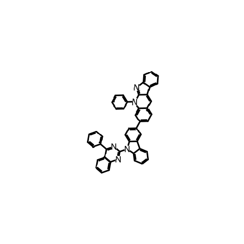 c1ccc(-c2nc(-n3c4ccccc4c4cc(-c5ccc6cc7c8ccccc8nc-7n(-c7ccccc7)c6c5)ccc43)nc3ccccc23)cc1